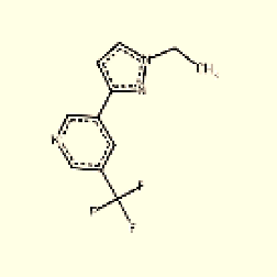 CCn1ccc(-c2cncc(C(F)(F)F)c2)n1